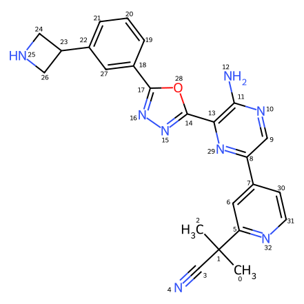 CC(C)(C#N)c1cc(-c2cnc(N)c(-c3nnc(-c4cccc(C5CNC5)c4)o3)n2)ccn1